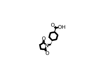 O=C1CCC(=O)N1C[C@H]1CC[C@H](C(=O)O)CC1